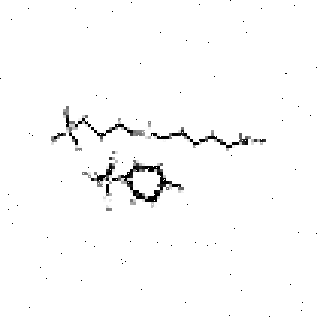 CCCCCCCCCCCCCCCCCCCC[N+](C)(C)C.Cc1ccc(S(=O)(=O)[O-])cc1